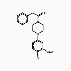 C=C(Cc1ccccc1)N1CCN(c2ccc(Br)c(OC)c2)CC1